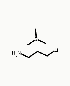 C[Si](C)C.[Li][CH2]CCN